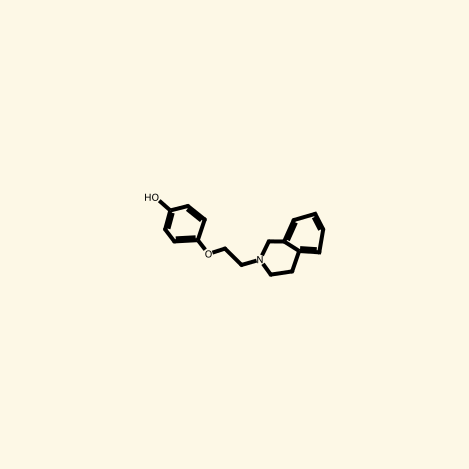 Oc1ccc(OCCN2CCc3ccccc3C2)cc1